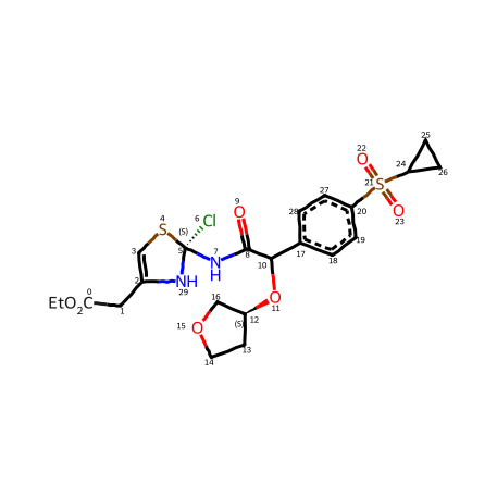 CCOC(=O)CC1=CS[C@@](Cl)(NC(=O)C(O[C@H]2CCOC2)c2ccc(S(=O)(=O)C3CC3)cc2)N1